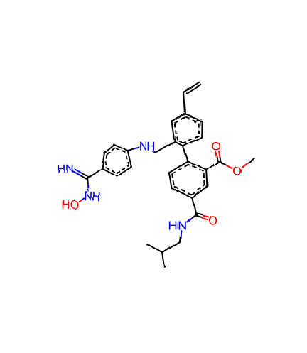 C=Cc1ccc(-c2ccc(C(=O)NCC(C)C)cc2C(=O)OC)c(CNc2ccc(C(=N)NO)cc2)c1